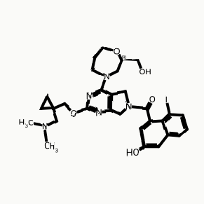 CN(C)CC1(COc2nc3c(c(N4CCCO[C@@H](CO)C4)n2)CN(C(=O)c2cc(O)cc4cccc(I)c24)C3)CC1